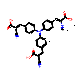 [C-]#[N+]C(=Cc1ccc(N(c2ccc(/C=C(/C#N)C(=O)O)cc2)c2ccc(/C=C(\C#N)C(=O)O)cc2)cc1)C(=O)O